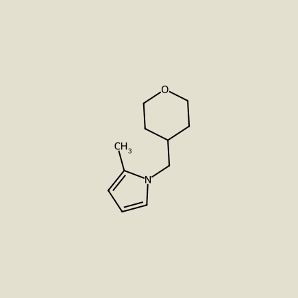 Cc1cccn1CC1CCOCC1